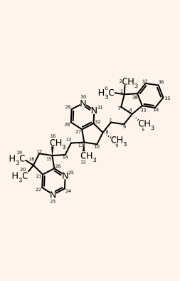 CC1(C)C[C@](C)(CC[C@@]2(C)C[C@](C)(CC[C@@]3(C)CC(C)(C)c4cncnc43)c3ccnnc32)c2ccccc21